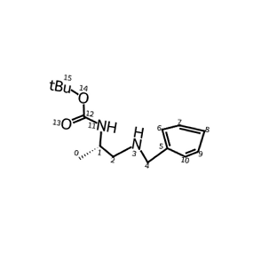 C[C@@H](CNCc1ccccc1)NC(=O)OC(C)(C)C